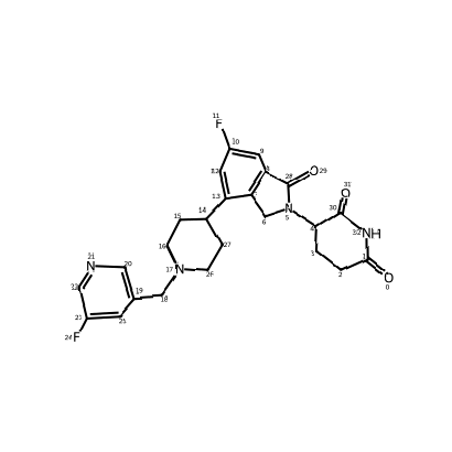 O=C1CCC(N2Cc3c(cc(F)cc3C3CCN(Cc4cncc(F)c4)CC3)C2=O)C(=O)N1